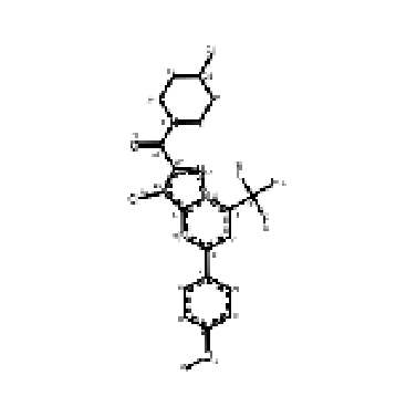 COc1ccc(-c2cc(C(F)(F)F)n3nc(C(=O)N4CCC(C)CC4)c(Cl)c3n2)cc1